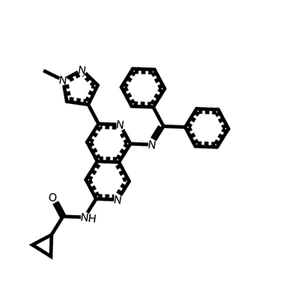 Cn1cc(-c2cc3cc(NC(=O)C4CC4)ncc3c(N=C(c3ccccc3)c3ccccc3)n2)cn1